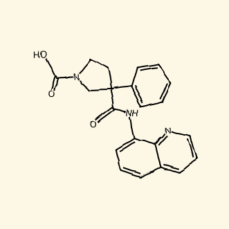 O=C(O)N1CCC(C(=O)Nc2cccc3cccnc23)(c2ccccc2)C1